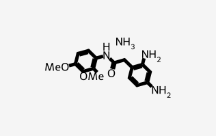 COc1ccc(NC(=O)Cc2ccc(N)cc2N)c(OC)c1.N